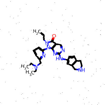 C=CCn1c(=O)c2cnc(Nc3ccc4c(c3)CNCC4)nc2n1-c1cccc(CN(CC)CC)n1